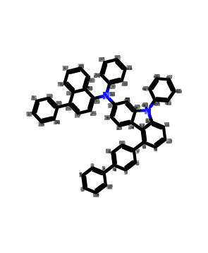 c1ccc(-c2ccc(-c3cccc4c3c3ccc(N(c5ccccc5)c5ccc(-c6ccccc6)c6ccccc56)cc3n4-c3ccccc3)cc2)cc1